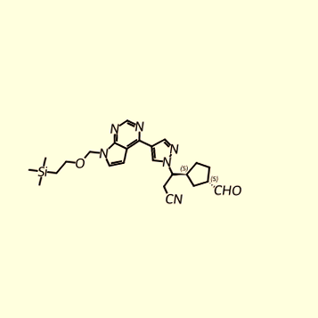 C[Si](C)(C)CCOCn1ccc2c(-c3cnn(C(CC#N)[C@H]4CC[C@H](C=O)C4)c3)ncnc21